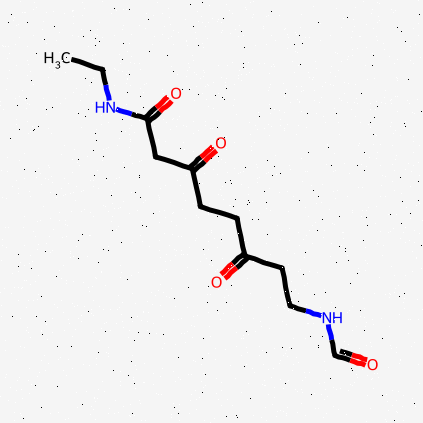 CCNC(=O)CC(=O)CCC(=O)CCNC=O